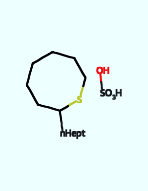 CCCCCCCC1CCCCCCS1.O=S(=O)(O)O